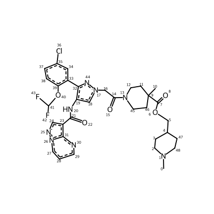 CN1CCC(COC(=O)C2(C)CCN(C(=O)Cn3cc(NC(=O)c4cnn5cccnc45)c(-c4cc(Cl)ccc4OC(F)F)n3)CC2)CC1